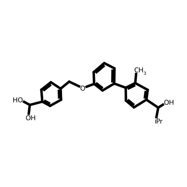 Cc1cc(C(O)C(C)C)ccc1-c1cccc(OCc2ccc(C(O)O)cc2)c1